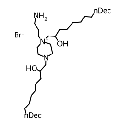 CCCCCCCCCCCCCCCCC(O)CN1CC[N+](CCCN)(CC(O)CCCCCCCCCCCCCCCC)CC1.[Br-]